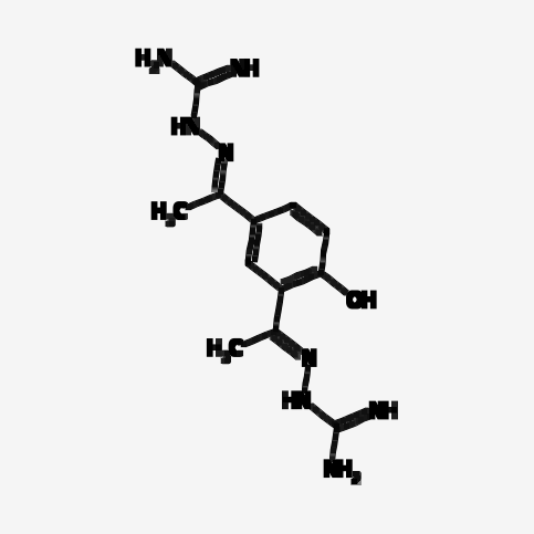 C/C(=N\NC(=N)N)c1ccc(O)c(/C(C)=N/NC(=N)N)c1